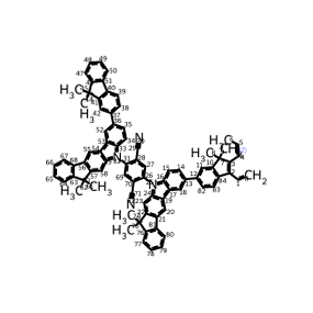 C=CC1=C(/C=C\C)C(C)(C)c2cc(-c3ccc4c(c3)c3cc5c(cc3n4-c3cc(C#N)c(-n4c6ccc(-c7ccc8c(c7)C(C)(C)c7ccccc7-8)cc6c6cc7c(cc64)C(C)(C)c4ccccc4-7)cc3C#N)C(C)(C)c3ccccc3-5)ccc21